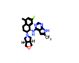 Cc1cc(F)cc2c1CC[C@H](N1C[C@H]3COC[C@H]3C1)[C@H]2Nc1ncnc2[nH]c(C(F)(F)F)cc12